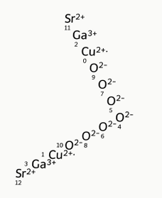 [Cu+2].[Cu+2].[Ga+3].[Ga+3].[O-2].[O-2].[O-2].[O-2].[O-2].[O-2].[O-2].[Sr+2].[Sr+2]